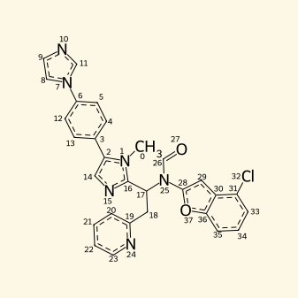 Cn1c(-c2ccc(-n3ccnc3)cc2)cnc1C(Cc1ccccn1)N(C=O)c1cc2c(Cl)cccc2o1